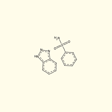 NS(=O)(=O)c1ccccc1.c1ccc2[nH]nnc2c1